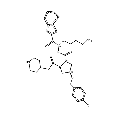 NCCCC[C@H](NC(=O)[C@@H]1C[C@@H](OCc2ccc(Cl)cc2)CN1C(=O)CC1CCNCC1)C(=O)c1nc2ccccc2o1